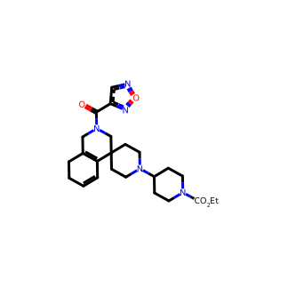 CCOC(=O)N1CCC(N2CCC3(CC2)CN(C(=O)c2cnon2)CC2=C3C=CCC2)CC1